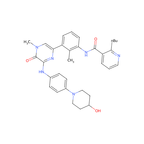 CCCCc1ncccc1C(=O)Nc1cccc(-c2cn(C)c(=O)c(Nc3ccc(N4CCC(O)CC4)cc3)n2)c1C